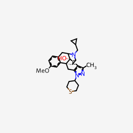 COc1ccc2c(c1)[C@@]13CCN(CC4CC4)C(C2)[C@@]1(O)Cc1c(C)nn(C2CCSCC2)c1C3